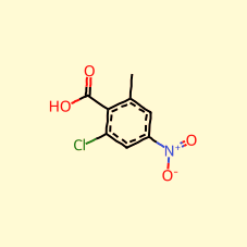 Cc1cc([N+](=O)[O-])cc(Cl)c1C(=O)O